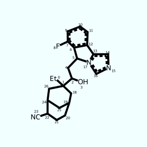 CCC1(C(O)CC2c3c(F)cccc3-c3cncn32)CC2CCC(C#N)C(C2)C1